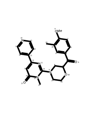 COc1ccc(C(=O)C2CN(c3nc(-c4ccncc4)cc(=O)n3C)CCO2)cc1C